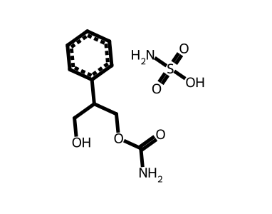 NC(=O)OCC(CO)c1ccccc1.NS(=O)(=O)O